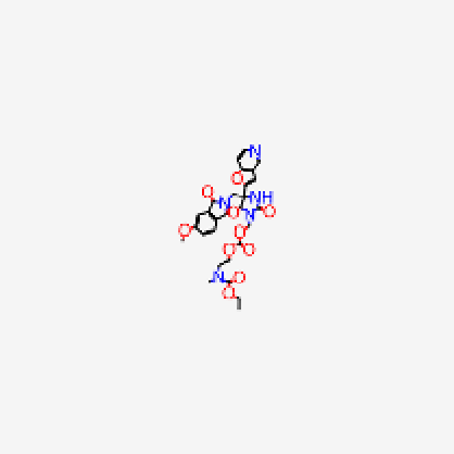 CCOC(=O)N(C)CCOC(=O)OCN1C(=O)N[C@@](CN2Cc3ccc(OC)cc3C2=O)(c2cc3cnccc3o2)C1=O